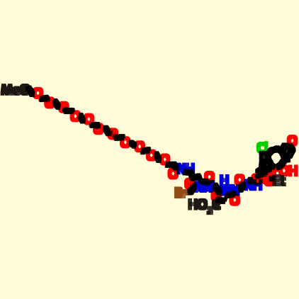 CCC(=O)OC1(C(=O)COCNC(=O)CNC(=O)[C@H](CCC(=O)O)NC(=O)CNC(=O)[C@H](CCCCNC(=O)CCOCCOCCOCCOCCOCCOCCOCCOCCOCCOCCOCCOC)NC(=O)CBr)[C@@H](C)C[C@H]2[C@@H](CCl)CCC3=CC(=O)C=C[C@]3(C)C[C@@H](O)C[C@@]21C